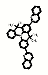 CC1(C)c2ccccc2N2c3ccc(-c4ccc5ccccc5n4)cc3C(C)(C)c3cc(-c4ccc5ccccc5n4)cc1c32